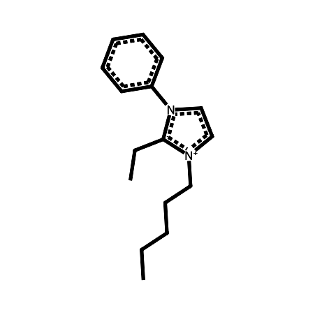 CCCCC[n+]1ccn(-c2ccccc2)c1CC